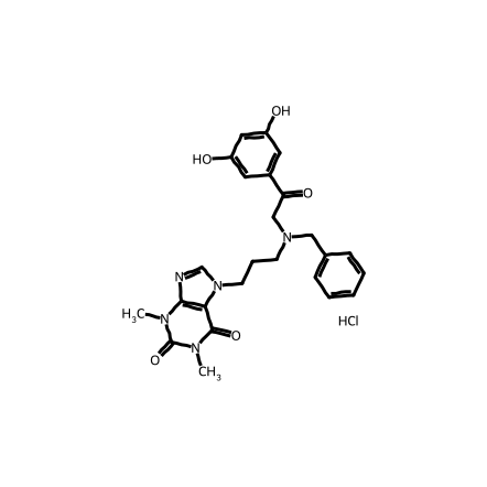 Cl.Cn1c(=O)c2c(ncn2CCCN(CC(=O)c2cc(O)cc(O)c2)Cc2ccccc2)n(C)c1=O